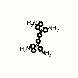 Nc1ccc(N(c2ccc(-c3ccc(N(c4ccc(N)cc4)c4ccc(N)c5ccccc45)cc3)cc2)c2ccc(N)c3ccccc23)cc1